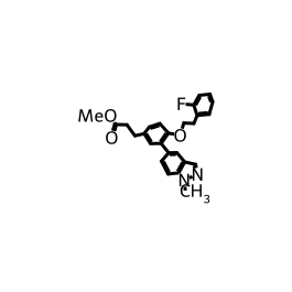 COC(=O)CCc1ccc(OCCc2ccccc2F)c(-c2ccc3c(cnn3C)c2)c1